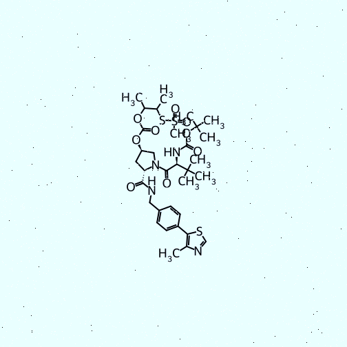 Cc1ncsc1-c1ccc(CNC(=O)[C@@H]2C[C@@H](OC(=O)OC(C)C(C)SS(C)(=O)=O)CN2C(=O)[C@@H](NC(=O)OC(C)(C)C)C(C)(C)C)cc1